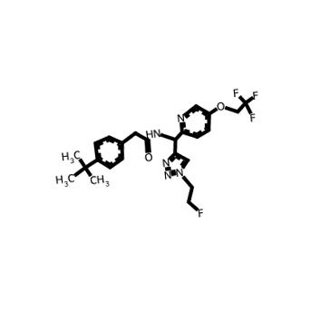 CC(C)(C)c1ccc(CC(=O)NC(c2ccc(OCC(F)(F)F)cn2)c2cn(CCF)nn2)cc1